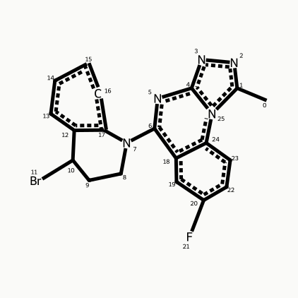 Cc1nnc2nc(N3CCC(Br)c4ccccc43)c3cc(F)ccc3n12